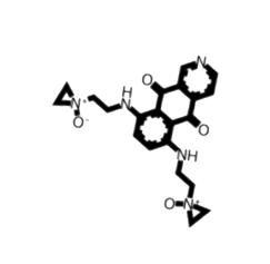 O=C1c2ccncc2C(=O)c2c(NCC[N+]3([O-])CC3)ccc(NCC[N+]3([O-])CC3)c21